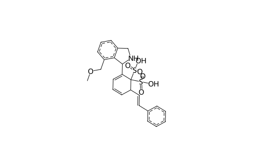 COCc1cccc2c1C(C1=CC=CC(C=Cc3ccccc3)C1(S(=O)(=O)O)S(=O)(=O)O)NC2